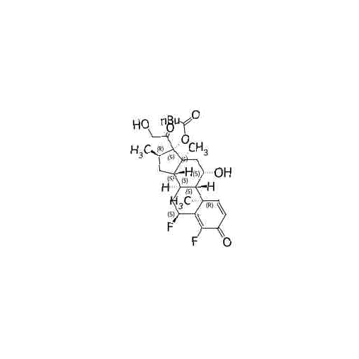 CCCCC(=O)O[C@@]1(C(=O)CO)[C@H](C)C[C@H]2[C@@H]3C[C@H](F)C4=C(F)C(=O)C=C[C@]4(C)[C@H]3[C@@H](O)C[C@@]21C